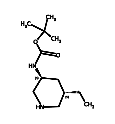 CC[C@@H]1CNC[C@@H](NC(=O)OC(C)(C)C)C1